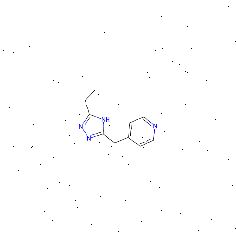 CCc1nnc(Cc2ccncc2)[nH]1